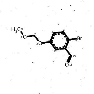 COCOc1ccc(Br)c(C=O)c1